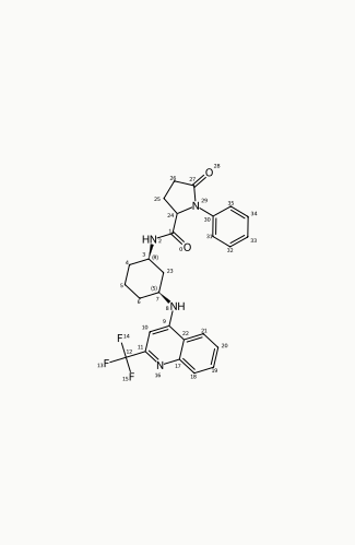 O=C(N[C@@H]1CCC[C@H](Nc2cc(C(F)(F)F)nc3ccccc23)C1)C1CCC(=O)N1c1ccccc1